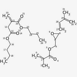 C=C(C)C(=O)OCC1CO1.C=C(CC(=O)OCCCC)C(=O)OCCCC.C=CC(=C)C